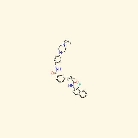 CN1CCN(c2ccc(CNC(=O)c3cccc([C@@H]4C[C@H]4C(=O)Nc4ccc5ccccc5c4F)c3)cc2)CC1